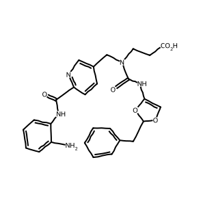 Nc1ccccc1NC(=O)c1ccc(CN(CCC(=O)O)C(=O)NC2=COC(Cc3ccccc3)O2)cn1